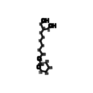 OCC(CO)CCCCCCOC1CCCCO1